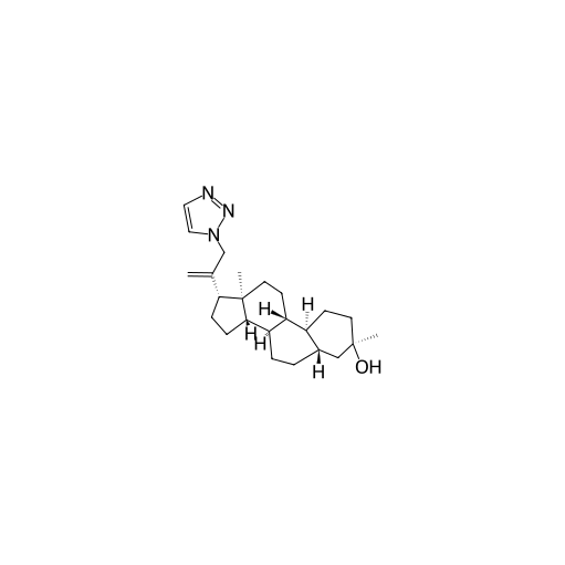 C=C(Cn1ccnn1)[C@H]1CC[C@H]2[C@@H]3CC[C@H]4C[C@](C)(O)CC[C@@H]4[C@H]3CC[C@]12C